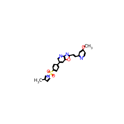 COc1ccnc(C=Cc2nc3ncc(-c4ccc(S(=O)(=O)n5ccc(C)c5)cc4)cc3o2)c1